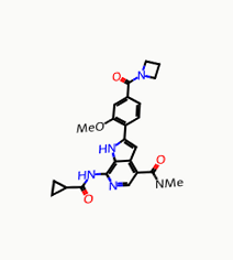 CNC(=O)c1cnc(NC(=O)C2CC2)c2[nH]c(-c3ccc(C(=O)N4CCC4)cc3OC)cc12